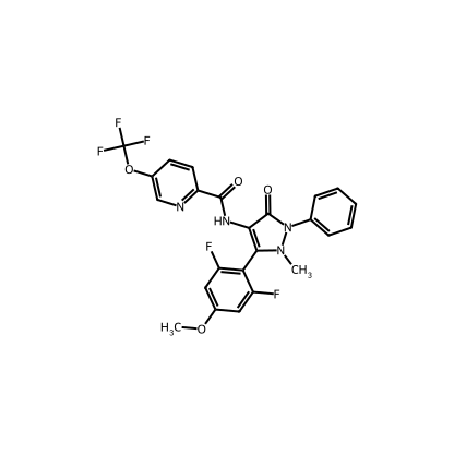 COc1cc(F)c(-c2c(NC(=O)c3ccc(OC(F)(F)F)cn3)c(=O)n(-c3ccccc3)n2C)c(F)c1